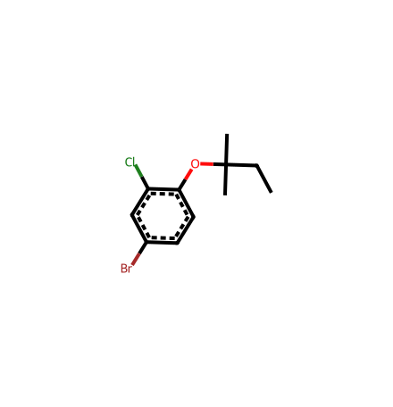 CCC(C)(C)Oc1ccc(Br)cc1Cl